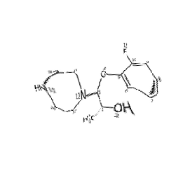 C[C@@H](O)C(Oc1ccccc1F)N1CCNCC1